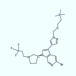 C[Si](C)(C)CCOCn1cc(-c2cn([C@H]3CCN(CCC(F)(F)F)C3)c3cnc(Br)cc23)cn1